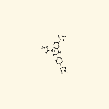 Cn1cc(-c2ccc(C(=O)Nc3cc(-c4ncno4)ccc3NC(=O)OC(C)(C)C)nc2)cn1